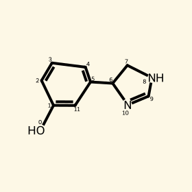 Oc1cccc(C2CNC=N2)c1